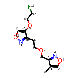 Cc1conc1COCCc1nocc1OCCF